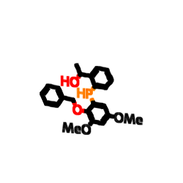 COc1cc(OC)c(OCc2ccccc2)c(Pc2ccccc2C(C)O)c1